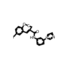 O=C(Nc1cccc(-n2ccnc2)c1)C1=Cc2cc(I)ccc2OCC1